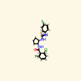 O=C(N[C@H]1CCC[C@H]1Nc1nc2ccc(F)cc2s1)c1c(F)cccc1Cl